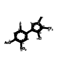 CC(=O)Oc1cc(F)c(-c2nn(C)c(C(F)(F)F)c2Cl)cc1[N+](=O)[O-]